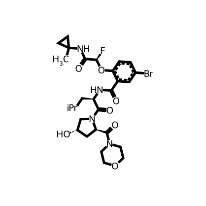 CC(C)C[C@@H](NC(=O)c1cc(Br)ccc1O[C@H](F)C(=O)NC1(C)CC1)C(=O)N1C[C@@H](O)C[C@@H]1C(=O)N1CCOCC1